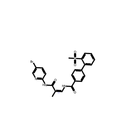 C/C(=C/NC(=O)c1ccc(-c2ccccc2S(C)(=O)=O)cc1)C(=O)Nc1ccc(Br)cn1